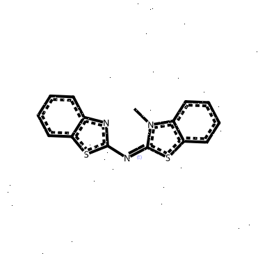 Cn1/c(=N\c2nc3ccccc3s2)sc2ccccc21